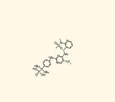 CCCCC(CCCC)(c1ccc(Nc2ncc(C(F)(F)F)c(NCc3cccnc3N(C)S(C)(=O)=O)n2)cc1)P(=O)(O)O